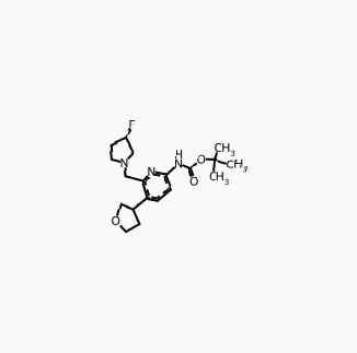 CC(C)(C)OC(=O)Nc1ccc(C2CCOC2)c(CN2CC[C@@H](F)C2)n1